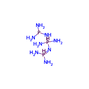 NP(N)N[PH](N)(N)N=[PH](N)N